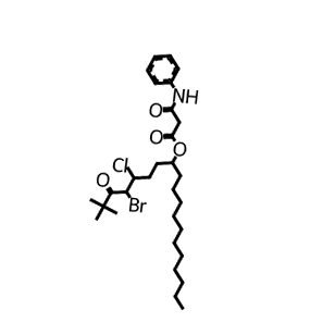 CCCCCCCCCCCC(CCC(Cl)C(Br)C(=O)C(C)(C)C)OC(=O)CC(=O)Nc1ccccc1